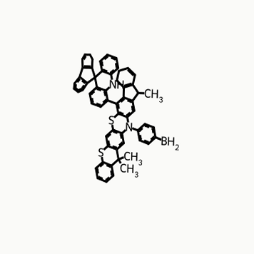 Bc1ccc(N2c3cc4c(cc3Sc3c2cc2c(c3-c3cccc5c3Nc3ccccc3C53C5=C(C=CCC5)c5ccccc53)C3=C(C=CCC3)C2C)Sc2ccccc2C4(C)C)cc1